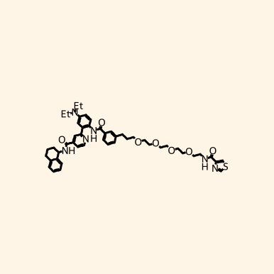 CCN(CC)c1ccc(NC(=O)c2cccc(CCCOCCOCCOCCOCCNC(=O)c3cscn3)c2)c(-c2cc(C(=O)NC3CCCc4ccccc43)ccn2)c1